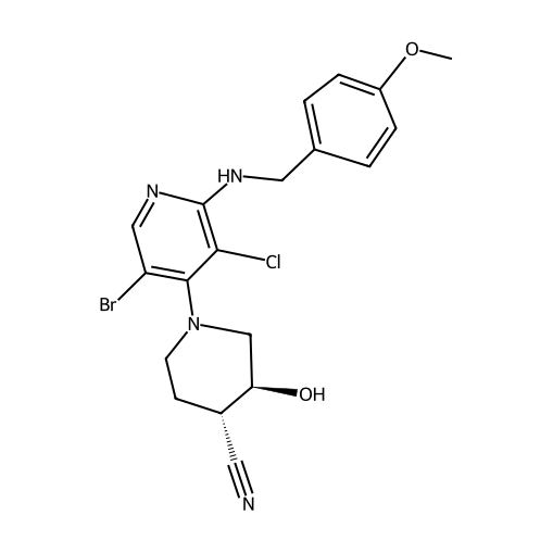 COc1ccc(CNc2ncc(Br)c(N3CC[C@@H](C#N)[C@H](O)C3)c2Cl)cc1